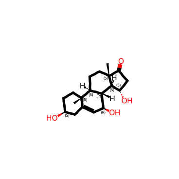 C[C@]12CC[C@H](O)CC1=C[C@H](O)[C@H]1[C@@H]3[C@@H](O)CC(=O)[C@@]3(C)CC[C@@H]12